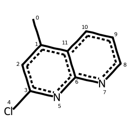 Cc1cc(Cl)nc2ncccc12